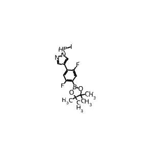 CC1(C)OB(c2cc(F)c(-c3cnn(PI)c3)cc2F)OC1(C)C